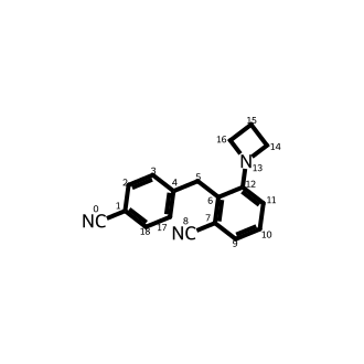 N#Cc1ccc(Cc2c(C#N)cccc2N2CCC2)cc1